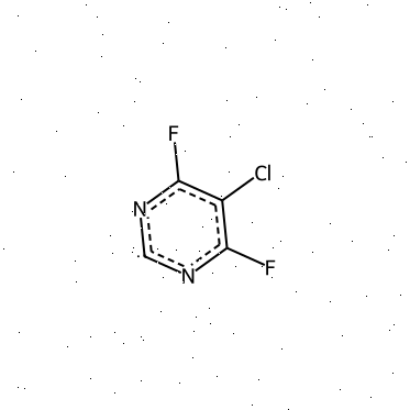 Fc1n[c]nc(F)c1Cl